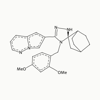 COc1ccc(CN2C(c3cc4cccnn4c3)=NN[C@@]23CC2CCC3CC2)c(OC)c1